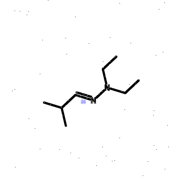 CCN(CC)/N=C/C(C)C